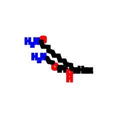 CC(C)OCCCN.CCCCCCC(O)CCCCCCCCCCC(N)=O